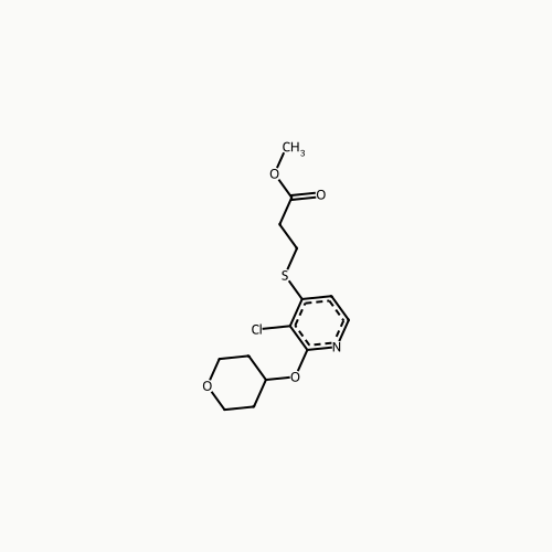 COC(=O)CCSc1ccnc(OC2CCOCC2)c1Cl